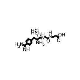 Cl.Cl.N=C(N)c1ccc(C[C@H](N)C(=O)NCC(=O)NCCC(=O)O)cc1